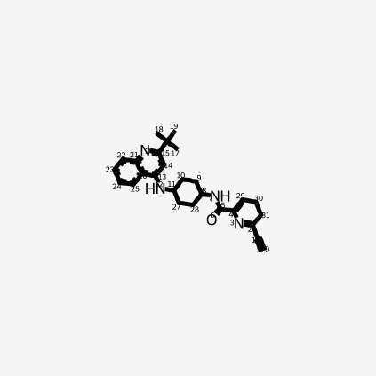 C#CC1=NC(C(=O)NC2CCC(Nc3cc(C(C)(C)C)nc4ccccc34)CC2)=CCC1